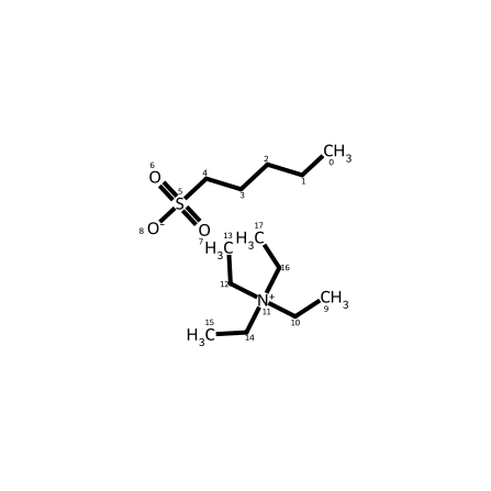 CCCCCS(=O)(=O)[O-].CC[N+](CC)(CC)CC